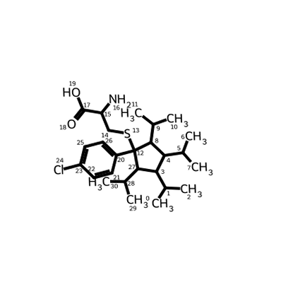 CC(C)C1C(C(C)C)C(C(C)C)C(SCC(N)C(=O)O)(c2ccc(Cl)cc2)C1C(C)C